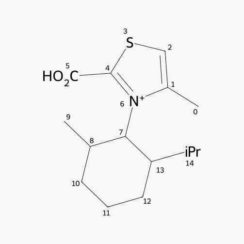 Cc1csc(C(=O)O)[n+]1C1C(C)CCCC1C(C)C